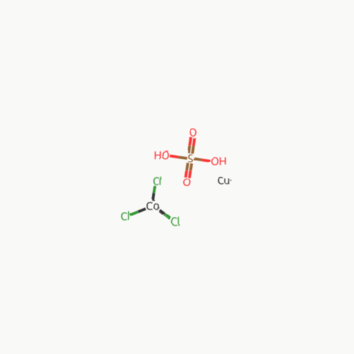 O=S(=O)(O)O.[Cl][Co]([Cl])[Cl].[Cu]